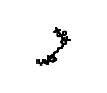 CC(C)(C)OC(=O)N1CC(CCCCn2ccc(SN)n2)CC1(C)C